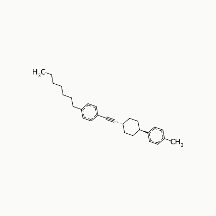 CCCCCCCc1ccc(C#C[C@H]2CC[C@H](c3ccc(C)cc3)CC2)cc1